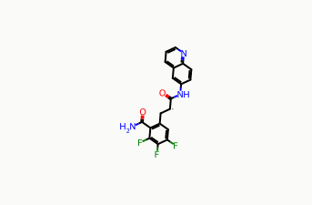 NC(=O)c1c(C[CH]C(=O)Nc2ccc3ncccc3c2)cc(F)c(F)c1F